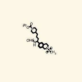 CC(C)OC(=O)N1CCC(CCCC(NC=O)c2ccc3c(c2)CCN(S(C)(=O)=O)C3)CC1